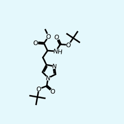 COC(=O)C(Cc1cn(C(=O)OC(C)(C)C)cn1)NC(=O)OC(C)(C)C